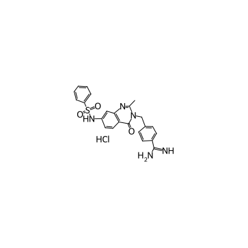 Cc1nc2cc(NS(=O)(=O)c3ccccc3)ccc2c(=O)n1Cc1ccc(C(=N)N)cc1.Cl